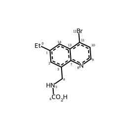 CCc1cc(CNC(=O)O)c2nccc(Br)c2c1